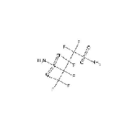 NS(=O)(=O)C(F)(F)C(F)(F)C(F)(C(F)(F)F)S(N)(=O)=O